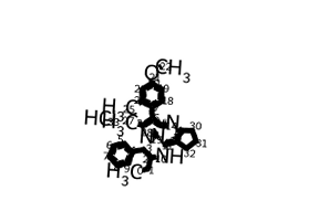 CCC(Cc1ccccc1)Nc1c2c(nc3c(-c4ccc(OC)cc4C)c(C)nn13)CCC2.Cl